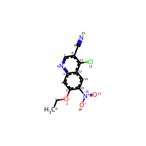 CCOc1cc2ncc(C#N)c(Cl)c2cc1[N+](=O)[O-]